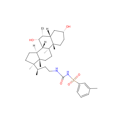 CC[C@H]1[C@@H](O)[C@H]2[C@@H]3CC[C@](C)([C@H](C)CCNC(=O)NS(=O)(=O)c4cccc(C)c4)[C@@]3(C)CC[C@]2(C)[C@@]2(C)CC[C@@H](O)C[C@@H]12